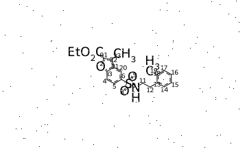 CCOC(=O)c1oc2ccc(S(=O)(=O)NCCc3ccccc3C)cc2c1C